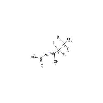 CC(C)(C)C(=O)/C=C(\O)C(F)(F)C(F)(F)C(F)(F)F